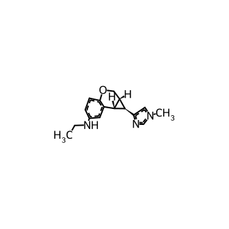 CCNc1ccc2c(c1)[C@@H]1[C@H](CO2)[C@H]1c1cn(C)cn1